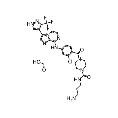 NCCCNC(=O)N1CCN(C(=O)c2ccc(Nc3nccn4c(-c5c[nH]nc5C(F)(F)F)cnc34)cc2Cl)CC1.O=CO